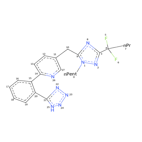 CCCCCn1nc(C(F)(F)CCC)nc1Cc1ccc(-c2ccccc2-c2nnn[nH]2)nc1